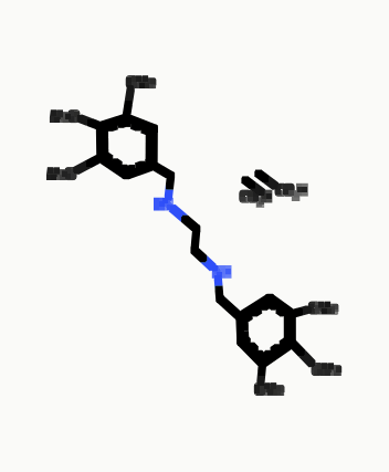 CC(=O)O.CC(=O)O.COc1cc(CNCCNCc2cc(OC)c(OC)c(OC)c2)cc(OC)c1OC